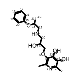 Cc1nc(C)c(OCC(O)CNCC(Oc2ccccc2)C(C)C)c(O)c1O